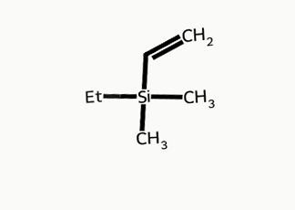 C=C[Si](C)(C)CC